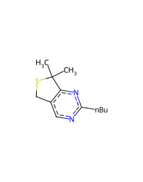 CCCCc1ncc2c(n1)C(C)(C)SC2